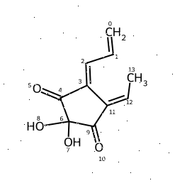 C=C/C=C1/C(=O)C(O)(O)C(=O)/C1=C/C